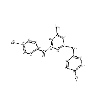 Nc1nc(Nc2ccc(Cl)cc2)cc(Nc2ccc(Cl)cc2)n1